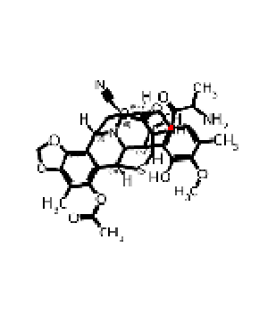 COc1c(C)cc2c(c1O)[C@H]1C3[C@@H]4SCC(NC(=O)C(C)N)C(=O)OC[C@@H](c5c6c(c(C)c(OC(C)=O)c54)OCO6)N3[C@@H](C#N)[C@@H](C2)N1C